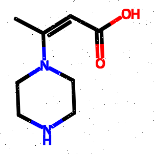 C/C(=C/C(=O)O)N1CCNCC1